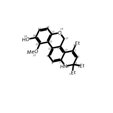 CCC1=CC(CC)(CC)Nc2ccc3c(c21)COc1ccc(O)c(OC)c1-3